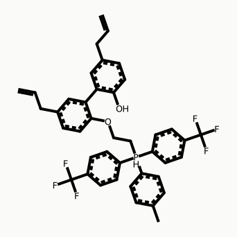 C=CCc1ccc(O)c(-c2cc(CC=C)ccc2OCC[PH](c2ccc(C)cc2)(c2ccc(C(F)(F)F)cc2)c2ccc(C(F)(F)F)cc2)c1